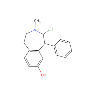 CN1CCc2ccc(O)cc2C(c2ccccc2)C1Cl